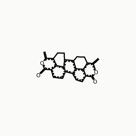 C=c1oc(=O)c2ccc3c4ccc5c(=O)oc(=C)c6c5c4c(c4c3c2c1CC4)CC6